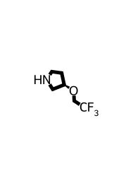 FC(F)(F)CO[C@@H]1CCNC1